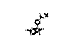 Cn1c(=O)n([C@H]2CCN(C(=O)OC(C)(C)C)C2)c2nc(Cl)ncc21